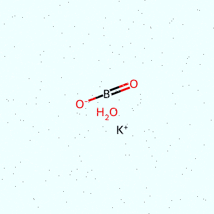 O.O=B[O-].[K+]